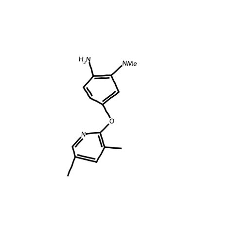 CNc1cc(Oc2ncc(C)cc2C)ccc1N